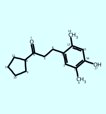 Cc1cc(CCC(=O)C2CCCC2)c(C)cc1O